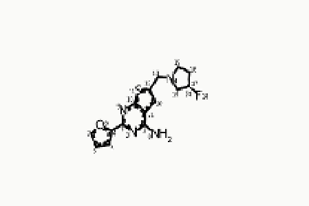 Nc1nc(-c2ccco2)nc2sc(CN3CC[C@@H](F)C3)cc12